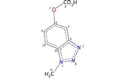 Cn1nnc2cc(OC(=O)O)ccc21